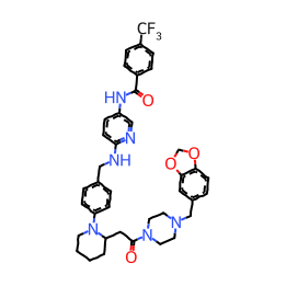 O=C(Nc1ccc(NCc2ccc(N3CCCCC3CC(=O)N3CCN(Cc4ccc5c(c4)OCO5)CC3)cc2)nc1)c1ccc(C(F)(F)F)cc1